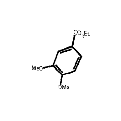 [CH2]COC(=O)c1ccc(OC)c(OC)c1